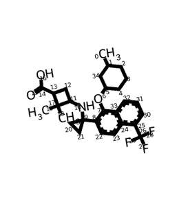 CC1CCCC(Oc2c(C3(NC4CC(C(=O)O)C4(C)C)CC3)ccc3c(C(F)(F)F)cccc23)C1